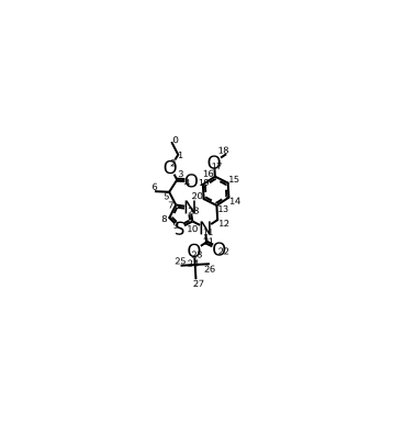 CCOC(=O)C(C)c1csc(N(Cc2ccc(OC)cc2)C(=O)OC(C)(C)C)n1